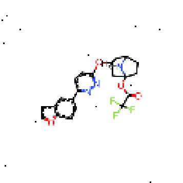 CN1C2CCC1(OC(=O)C(F)(F)F)CC(Oc1ccc(-c3ccc4occc4c3)nn1)C2